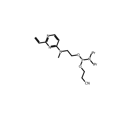 C=Cc1nccc(N(C)CCOP(OCCC#N)N(C(C)C)C(C)C)n1